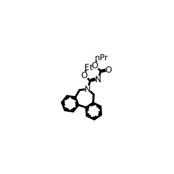 CCCOC(=O)N=C(OCC)N1Cc2ccccc2-c2ccccc2C1